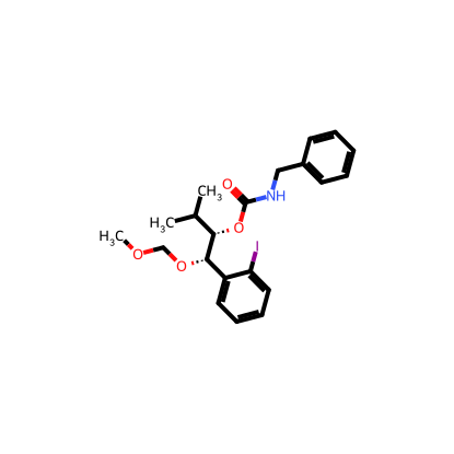 COCO[C@@H](c1ccccc1I)[C@@H](OC(=O)NCc1ccccc1)C(C)C